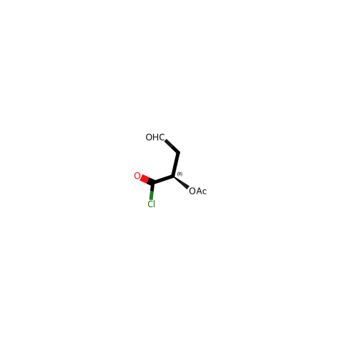 CC(=O)O[C@H](CC=O)C(=O)Cl